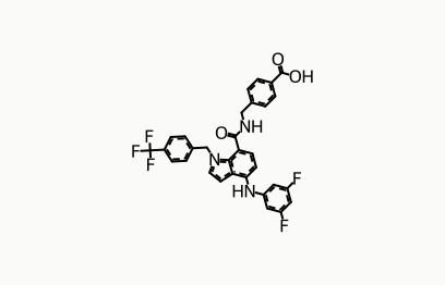 O=C(O)c1ccc(CNC(=O)c2ccc(Nc3cc(F)cc(F)c3)c3ccn(Cc4ccc(C(F)(F)F)cc4)c23)cc1